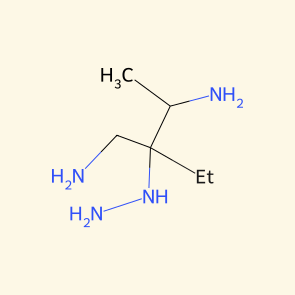 CCC(CN)(NN)C(C)N